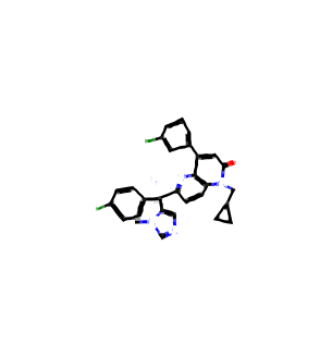 Cn1cncc1[C@@](N)(c1ccc(Cl)cc1)c1ccc2c(n1)c(-c1cccc(Cl)c1)cc(=O)n2CC1CC1